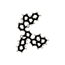 c1cc(-c2ccc(-c3ccc4ccc5cccc6ccc3c4c56)c3c2oc2cc4ccccc4cc23)c2c(c1)-c1cccc3c1c(cc1ccccc13)O2